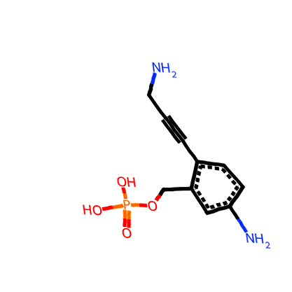 NCC#Cc1ccc(N)cc1COP(=O)(O)O